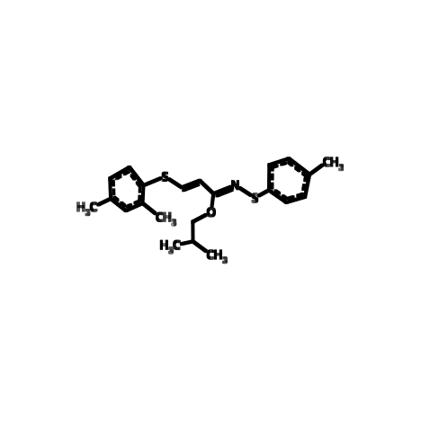 Cc1ccc(S/N=C(/C=C/Sc2ccc(C)cc2C)OCC(C)C)cc1